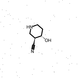 N#C[C@H]1CNCC[C@@H]1O